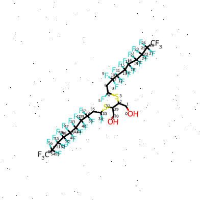 OCC(SC(F)CC(F)(F)C(F)(F)C(F)(F)C(F)(F)C(F)(F)C(F)(F)C(F)(F)C(F)(F)F)C(CO)SC(F)CC(F)(F)C(F)(F)C(F)(F)C(F)(F)C(F)(F)C(F)(F)C(F)(F)C(F)(F)F